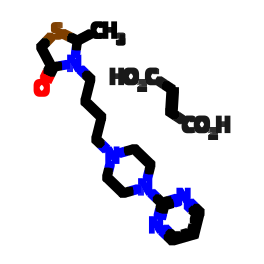 CC1SCC(=O)N1CCCCN1CCN(c2ncccn2)CC1.O=C(O)C=CC(=O)O